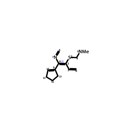 C=C/C(SCNC)=C(/N=C)C1=CCCC1